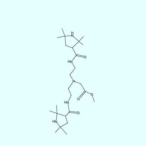 COC(=O)CN(CCNC(=O)C1CC(C)(C)NC1(C)C)CCNC(=O)C1CC(C)(C)NC1(C)C